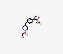 C=CC(=O)N1CCC(Cc2ccc(-c3cnoc3C)cc2)CC1